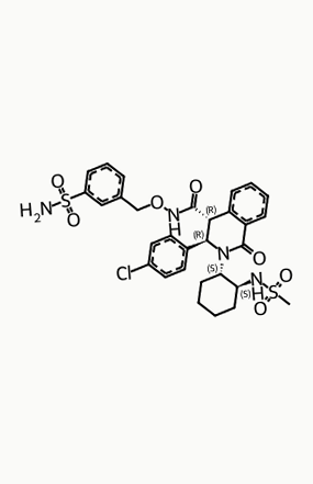 CS(=O)(=O)N[C@H]1CCCC[C@@H]1N1C(=O)c2ccccc2[C@@H](C(=O)NOCc2cccc(S(N)(=O)=O)c2)[C@@H]1c1ccc(Cl)cc1